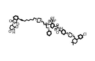 CC1(C)CCC(c2ccc(Cl)cc2)=C(CN2CCN(c3ccc(C(=O)NS(=O)(=O)c4ccc(N[C@H](CCN5CCN(CCCCCCC#Cc6cccc7c6C(=O)N(C6CCC(=O)NC6=O)C7=O)CC5)CSc5ccccc5)c(S(=O)(=O)C(F)(F)F)c4)cc3)CC2)C1